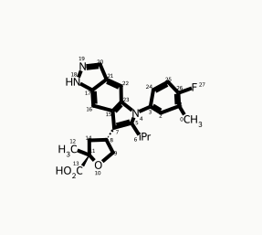 Cc1cc(-n2c(C(C)C)c([C@@H]3CO[C@@](C)(C(=O)O)C3)c3cc4[nH]ncc4cc32)ccc1F